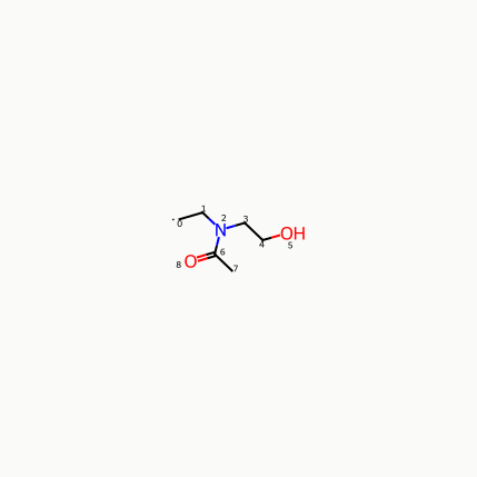 [CH2]CN(CCO)C(C)=O